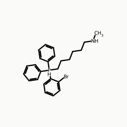 CNCCCCCC[PH](c1ccccc1)(c1ccccc1)c1ccccc1Br